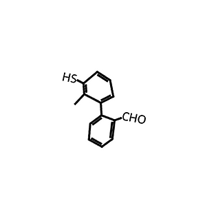 Cc1c(S)cccc1-c1ccccc1C=O